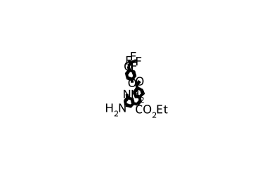 CCOC(=O)C(=Cc1ccc(C(=O)Oc2ccc(OC(F)(F)C(F)F)cc2)cc1)c1cc(N)cc(N)c1